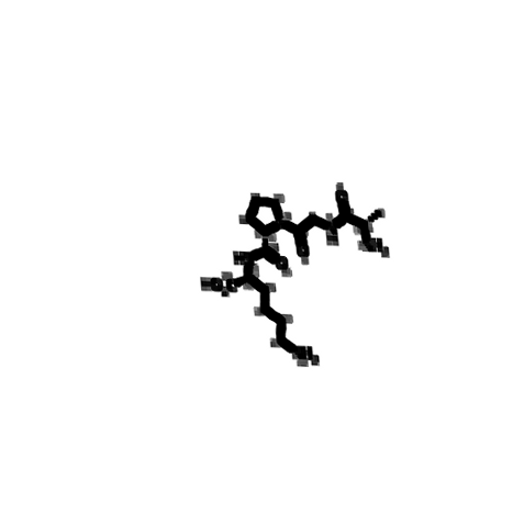 C[C@H](N)C(=O)NCC(=O)N1CCC[C@H]1C(=O)N[C@@H](CCCCN)C(=O)O